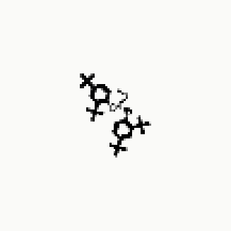 COP(Oc1ccc(C(C)(C)C)cc1C(C)(C)C)Oc1ccc(C(C)(C)C)cc1C(C)(C)C